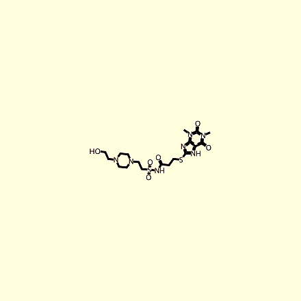 Cn1c(=O)c2[nH]c(SCCC(=O)NS(=O)(=O)CCN3CCN(CCO)CC3)nc2n(C)c1=O